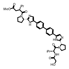 COC(=O)C[C@H](C(=O)N1CCC[C@H]1c1ncc(-c2ccc(-c3ccc(-c4cnc([C@@H]5CCCN5C(=O)[C@@H](NC(=O)CO)C(C)C)[nH]4)cc3)cc2)[nH]1)C(C)C